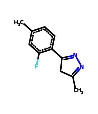 CC1=NN=C(c2ccc(C)cc2F)C1